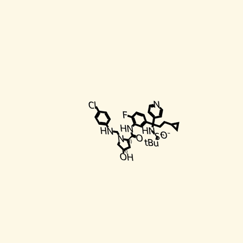 CC(C)(C)[S+]([O-])NC(CCC1CC1)(c1ccncc1)c1ccc(F)c(NC(=O)[C@H]2C[C@@H](O)CN2CNc2ccc(Cl)cc2)c1